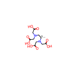 C[C@@H](CN(CC(=O)O)CC(=O)O)N(CC(=O)O)CC(=O)O